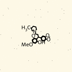 COc1ccc(C(CC(=O)N2CCCC(C)C2)c2ccc3c(c2)OCO3)c(O)c1